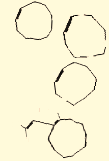 C1=C\CCCCCCCC/1.C1=C\CCCCCCCC/1.C1=C\CCCCCCCC/1.CC(=C/C1=C(\C(=O)O)CCCCCCCC1)C(=O)O